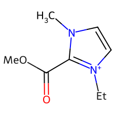 CC[n+]1ccn(C)c1C(=O)OC